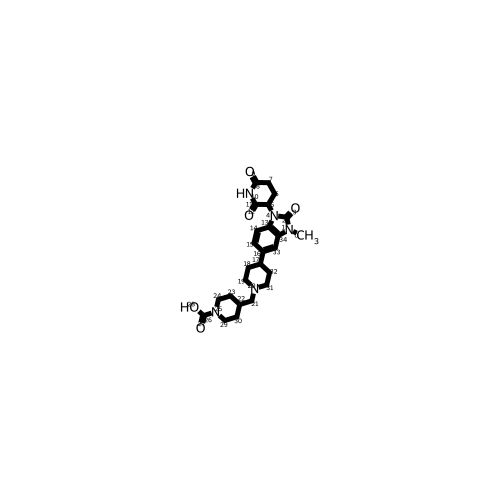 Cn1c(=O)n(C2CCC(=O)NC2=O)c2ccc(C3CCN(CC4CCN(C(=O)O)CC4)CC3)cc21